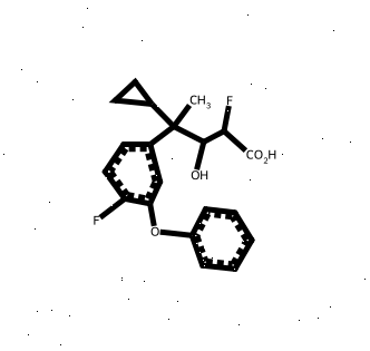 CC(c1ccc(F)c(Oc2ccccc2)c1)(C1CC1)C(O)C(F)C(=O)O